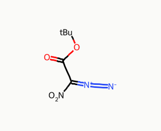 CC(C)(C)OC(=O)C(=[N+]=[N-])[N+](=O)[O-]